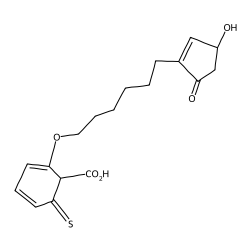 O=C1CC(O)C=C1CCCCCCOC1=CC=CC(=S)C1C(=O)O